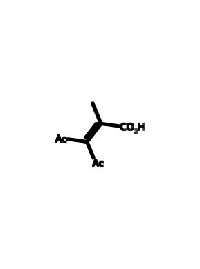 CC(=O)C(C(C)=O)=C(C)C(=O)O